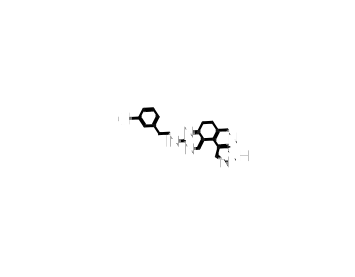 Clc1cccc(CCNc2ncc3c(n2)CCc2cnc4[nH]ncc4c2-3)c1